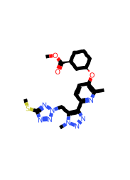 COC(=O)[C@H]1CCC[C@H](Oc2ccc(-c3nnn(C)c3Cn3nnc(SC)n3)nc2C)C1